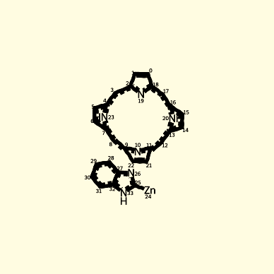 C1=Cc2cc3ccc(cc4nc(cc5ccc(cc1n2)[nH]5)C=C4)[nH]3.[Zn][c]1nc2ccccc2[nH]1